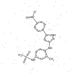 Cc1cc(NS(C)(=O)=O)ccc1Nc1cc(-c2ccc([N+](=O)[O-])cc2)[nH]n1